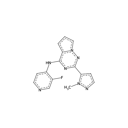 Cn1nccc1-c1nc(Nc2ccncc2F)c2cccn2n1